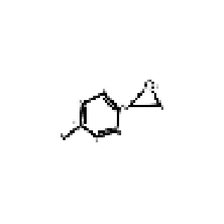 C1CO1.Cc1ccccc1